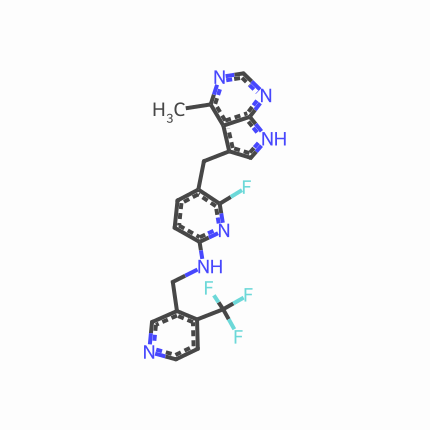 Cc1ncnc2[nH]cc(Cc3ccc(NCc4cnccc4C(F)(F)F)nc3F)c12